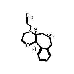 C=CCN1CCO[C@@H]2c3ccccc3CCC[C@H]21.Cl